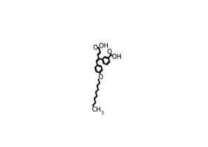 CCCCCCCCCCOc1ccc(C=C(C=CC(=O)O)c2cccc(C(=O)O)c2)cc1